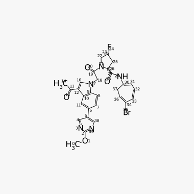 COc1ncc(-c2ccc3c(c2)c(C(C)=O)cn3CC(=O)N2C[C@H](F)C[C@H]2C(=O)NC2=CC=CC(Br)=CC2)cn1